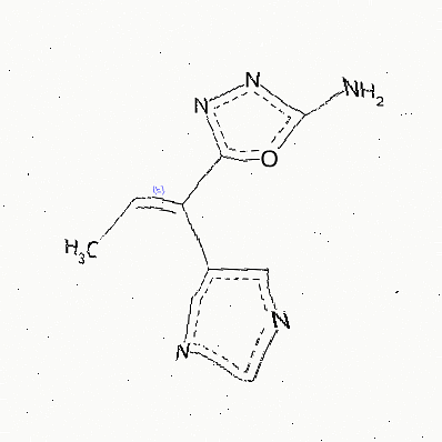 C/C=C(\c1cncnc1)c1nnc(N)o1